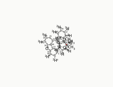 [2H]c1cc(B2OC(C)(C)C(C)(C)O2)c2c(oc3c([2H])c([2H])cc(-n4c5c([2H])c([2H])c([2H])c([2H])c5c5c([2H])c([2H])c([2H])c([2H])c54)c32)c1[2H]